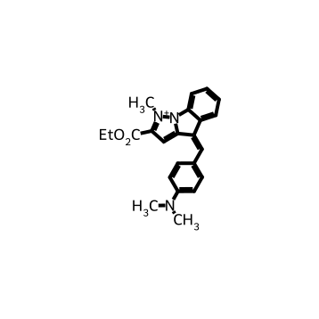 CCOC(=O)c1cc2c(=Cc3ccc(N(C)C)cc3)c3ccccc3n2[n+]1C